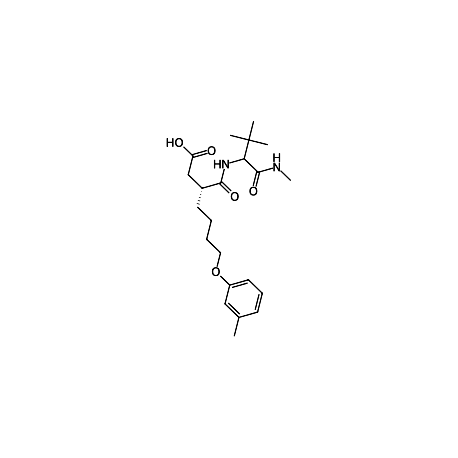 CNC(=O)C(NC(=O)[C@H](CCCCOc1cccc(C)c1)CC(=O)O)C(C)(C)C